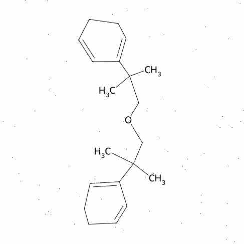 CC(C)(COCC(C)(C)C1=CCCC=C1)C1=CCCC=C1